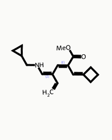 C=CC(=C/NCC1CC1)/C=C(\C=C1CCC1)C(=O)OC